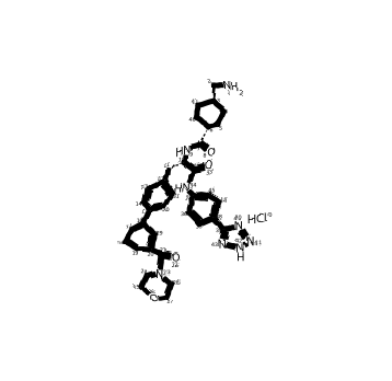 Cl.NC[C@H]1CC[C@H](C(=O)N[C@@H](Cc2ccc(-c3cccc(C(=O)N4CCOCC4)c3)cc2)C(=O)Nc2ccc(-c3nn[nH]n3)cc2)CC1